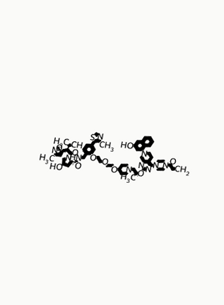 C=CC(=O)N1CCN(c2nc(O[C@H](C)CN3CCC(OCCOCCOc4cc(-c5scnc5C)ccc4CNC(=O)[C@@H]4C[C@@H](O)CN4C(=O)[C@@H](c4cc(C)no4)C(C)C)CC3)nc3c2CCN(c2cc(O)cc4ccccc24)C3)CC1